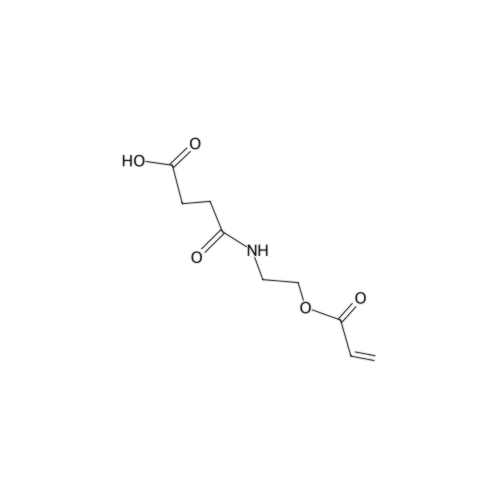 C=CC(=O)OCCNC(=O)CCC(=O)O